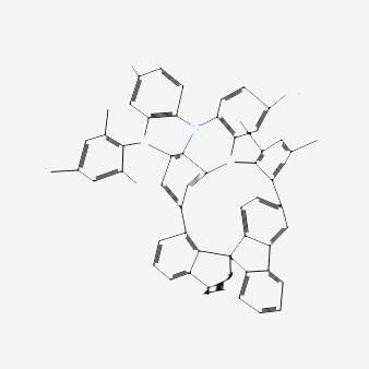 Cc1cc(C)c(B2c3cc(C(C)(C)C)ccc3N3c4ccc(C(C)(C)C)cc4B4c5cc(cc2c53)-c2cccc3c2C2(c5ccccc5-c5cc(ccc52)-c2cc(C)cc(C)c24)c2ccccc2-3)c(C)c1